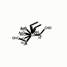 C[CH]=[Gd]([NH2])([NH2])([NH2])(=[CH]C)([NH]C=O)([NH]C=O)([O]C(C)=O)([O]C(C)=O)([O]C(C)=O)([O]C(C)=O)[O]C(C)=O